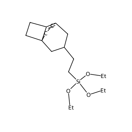 CCO[Si](CCC1CC2=C3CCC3(CC2)C1)(OCC)OCC